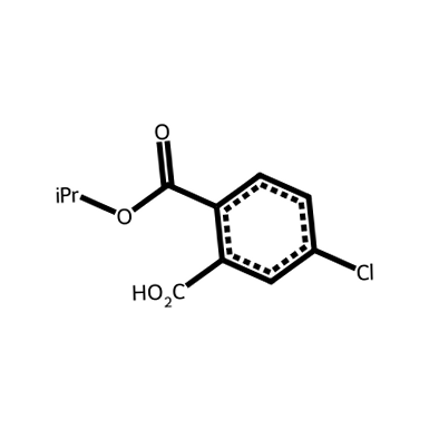 CC(C)OC(=O)c1ccc(Cl)cc1C(=O)O